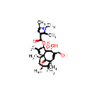 CC1=C[C@]23C(=O)[C@@H](C=C(CO)[C@@H](O)[C@]2(O)[C@H]1OC(=O)c1cc(C)n(C)c1C)C(C)(C)[C@@H](C)C[C@H]3C